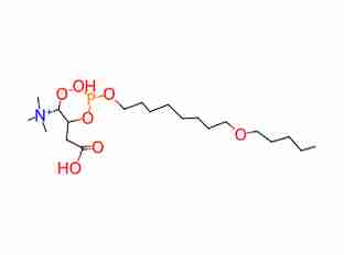 CCCCCOCCCCCCCCOP(O)OC(CC(=O)O)C([O-])[N+](C)(C)C